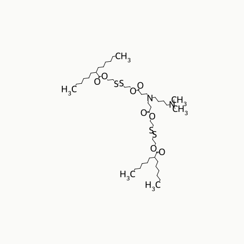 CCCCCCC(CCCCCC)C(=O)OCCSSCCOC(=O)CCN(CCCCN(C)C)CCC(=O)OCCSSCCOC(=O)C(CCCCCC)CCCCCC